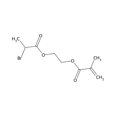 C=C(C)C(=O)OCCOC(=O)C(C)Br